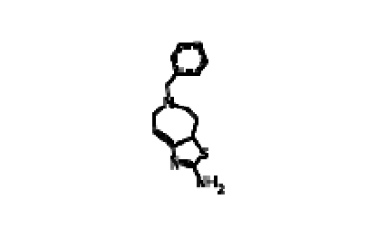 NC1=NC2=CCN(Cc3ccccc3)CCC2S1